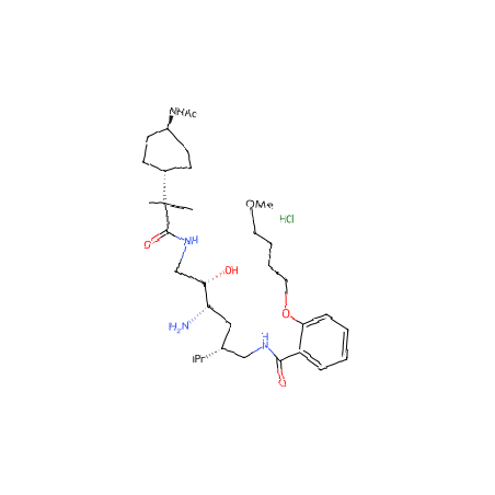 COCCCCOc1ccccc1C(=O)NC[C@@H](C[C@H](N)[C@@H](O)CNC(=O)C(C)(C)[C@H]1CC[C@H](NC(C)=O)CC1)C(C)C.Cl